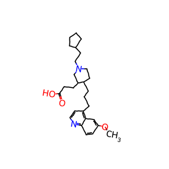 COc1ccc2nccc(CCCC3CCN(CCC4CCCC4)CC3CCC(=O)O)c2c1